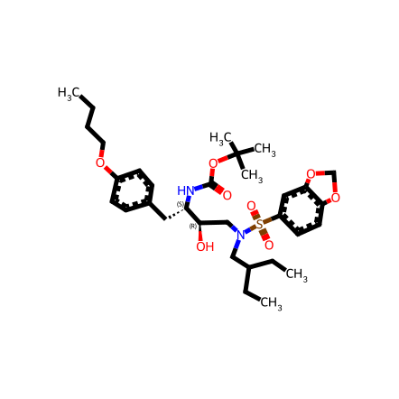 CCCCOc1ccc(C[C@H](NC(=O)OC(C)(C)C)[C@H](O)CN(CC(CC)CC)S(=O)(=O)c2ccc3c(c2)OCO3)cc1